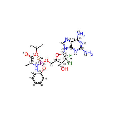 CC(C)OC(=O)[C@H](C)N[P@@](=S)(OC[C@H]1O[C@@H](n2cnc3c(N)nc(N)nc32)[C@@](F)(Cl)[C@@H]1O)Oc1ccccc1